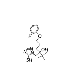 CC(C)(C)C(O)(CCCOc1ccccc1F)Cn1ncnc1S